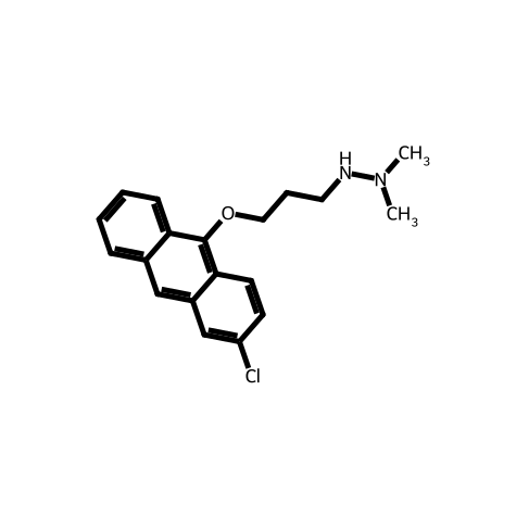 CN(C)NCCCOc1c2ccccc2cc2cc(Cl)ccc12